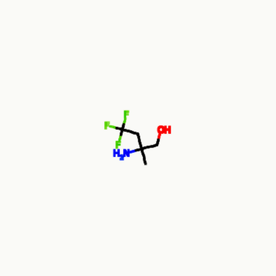 CC(N)(CO)CC(F)(F)F